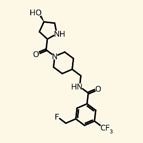 O=C(NCC1CCN(C(=O)C2C[C@@H](O)CN2)CC1)c1cc(CF)cc(C(F)(F)F)c1